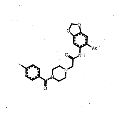 CC(=O)c1cc2c(cc1NC(=O)CN1CCN(C(=O)c3ccc(F)cc3)CC1)OCO2